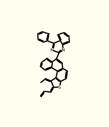 C=C/C=c1/sc2ccc3cc(-c4nc(-c5ccccc5)c5ccccc5n4)c4ccccc4c3c2/c1=C/C